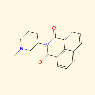 CN1CCCC(N2C(=O)c3cccc4cccc(c34)C2=O)C1